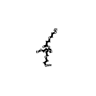 CCOCCOCCC(=O)OP(C)(C)(CCOCC)CCOCCOC